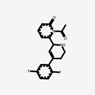 CC(=O)n1c(C2C=C(c3cc(F)ccc3F)CCN2)cccc1=O